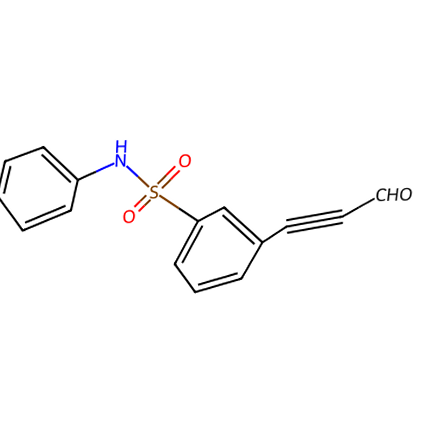 O=CC#Cc1cccc(S(=O)(=O)Nc2ccccc2)c1